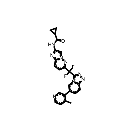 Cc1ccncc1-c1ccc2nnc(C(F)(F)c3ccc4nc(NC(=O)C5CC5)cn4n3)n2c1